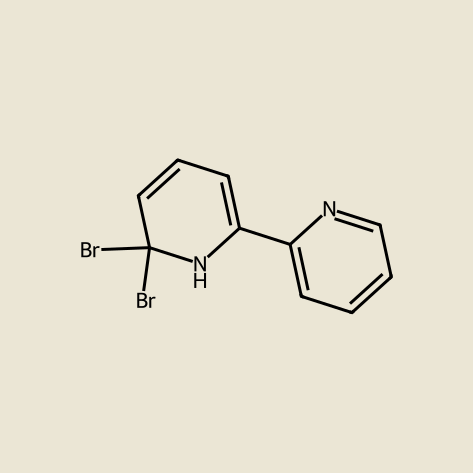 BrC1(Br)C=CC=C(c2ccccn2)N1